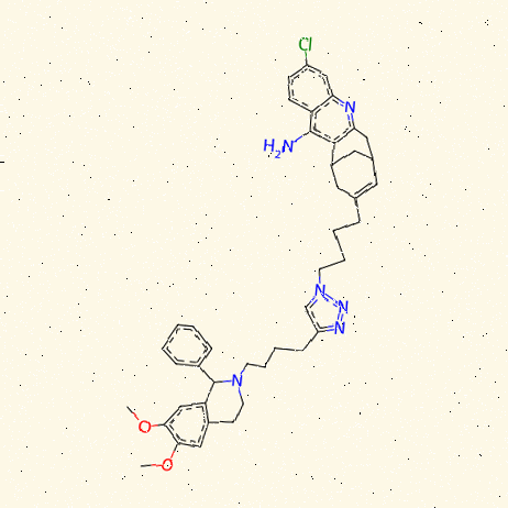 COc1cc2c(cc1OC)C(c1ccccc1)N(CCCCc1cn(CCCCC3=CC4Cc5nc6cc(Cl)ccc6c(N)c5C(C3)C4)nn1)CC2